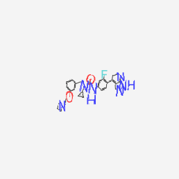 O=C(Nc1ccc(-c2ccnc3[nH]ncc23)c(F)c1)N(Cc1cccc(OCCN2CCC2)c1)C1CC1